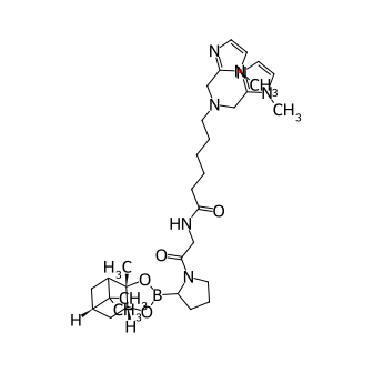 Cn1ccnc1CN(CCCCCC(=O)NCC(=O)N1CCCC1B1O[C@@H]2C[C@@H]3CC(C3(C)C)[C@]2(C)O1)Cc1nccn1C